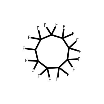 FC1C(F)(F)C(F)(F)C(F)(F)C(F)(F)C(F)(F)C(F)(F)C(F)(F)C1(F)F